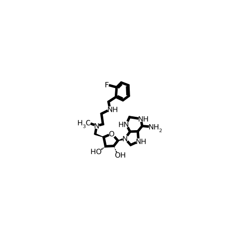 CN(CCNCc1ccccc1F)C[C@H]1O[C@@H](N2CNC3C(N)NCNC32)[C@H](O)[C@@H]1O